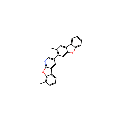 Cc1cc2c(cc1-c1cnc3oc4c(C)cccc4c3c1)oc1ccccc12